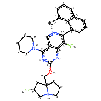 N#Cc1cccc2cccc(-c3ncc4c(N5CCCCC5)nc(OCC56CCCN5C[C@H](F)C6)nc4c3F)c12